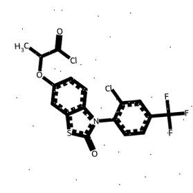 CC(Oc1ccc2c(c1)sc(=O)n2-c1ccc(C(F)(F)F)cc1Cl)C(=O)Cl